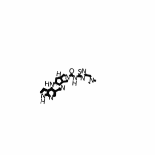 CN(C)Cc1nsc(NC(=O)N2CC3C[C@@H](Nc4c(C#N)cnc5[nH]ccc45)C[C@@H]3C2)n1